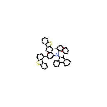 c1ccc(-c2c(N(c3ccc(-c4cccc5sc6ccccc6c45)cc3)c3ccccc3-c3cccc4c3sc3ccccc34)c3ccccc3c3ccccc23)cc1